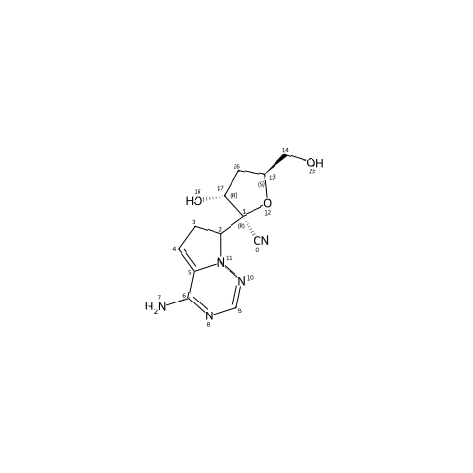 N#C[C@@]1(C2CC=C3C(N)=NC=NN32)O[C@H](CO)C[C@H]1O